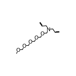 C=CCN(CC=C)COCOCOCOCOC